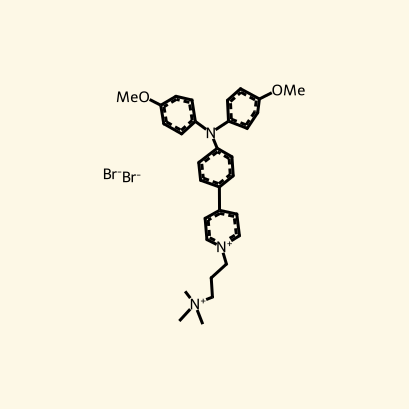 COc1ccc(N(c2ccc(OC)cc2)c2ccc(-c3cc[n+](CCC[N+](C)(C)C)cc3)cc2)cc1.[Br-].[Br-]